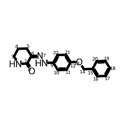 O=C1NCCCC1=NNc1ccc(OCc2ccccc2)cc1